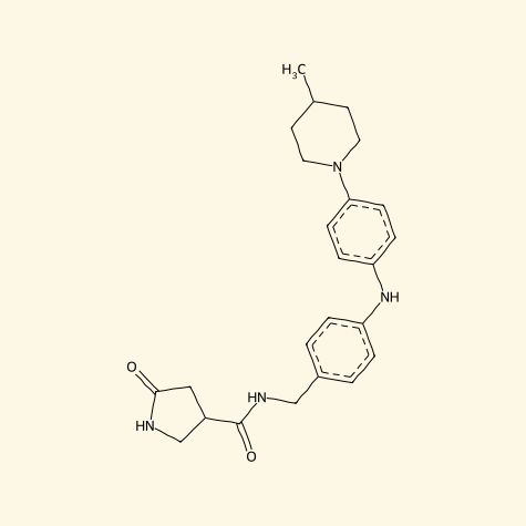 CC1CCN(c2ccc(Nc3ccc(CNC(=O)C4CNC(=O)C4)cc3)cc2)CC1